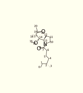 CC[C@@H](C)CCCC(=O)N1CCC[C@@H]1[C@@H](OC)[C@H](C)C(C)=O